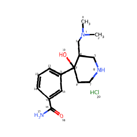 CN(C)CC1CNCCC1(O)c1cccc(C(N)=O)c1.Cl